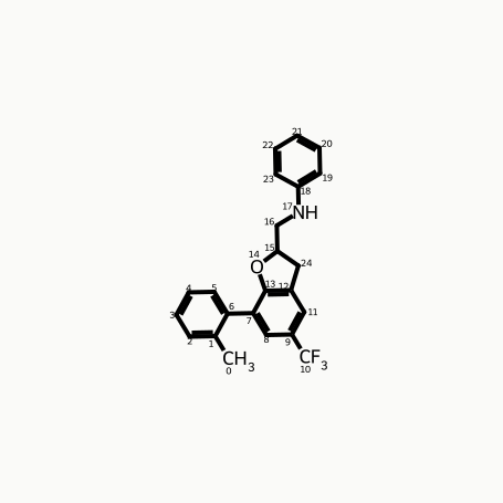 Cc1ccccc1-c1cc(C(F)(F)F)cc2c1OC(CNc1ccccc1)C2